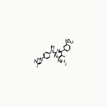 Cc1cn(-c2ccc(Nc3nc(N)c(C)c(-c4cccc(C(C)(C)C)c4)n3)cc2)cn1